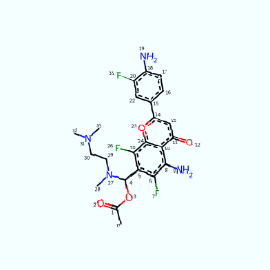 CC(=O)OC(c1c(F)c(N)c2c(=O)cc(-c3ccc(N)c(F)c3)oc2c1F)N(C)CCN(C)C